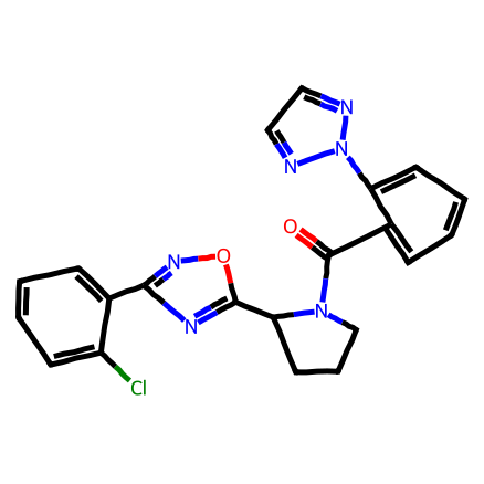 O=C(c1ccccc1-n1nccn1)N1CCCC1c1nc(-c2ccccc2Cl)no1